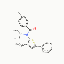 CCOC(=O)c1cc(-c2ccccc2)sc1N(C(=O)c1ccc(C)cc1)C1CCCC1